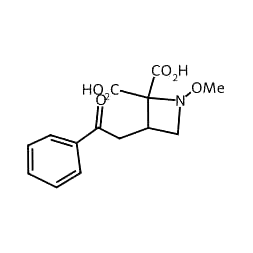 CON1CC(CC(=O)c2ccccc2)C1(C(=O)O)C(=O)O